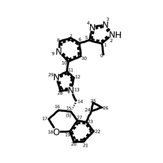 Cc1[nH]nnc1-c1ccnc(-c2cn(C[C@H]3CCOc4cccc(C5CC5)c43)cn2)c1